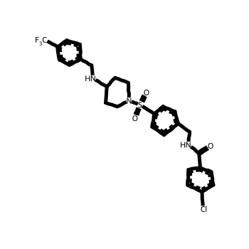 O=C(NCc1ccc(S(=O)(=O)N2CCC(NCc3ccc(C(F)(F)F)cc3)CC2)cc1)c1ccc(Cl)cc1